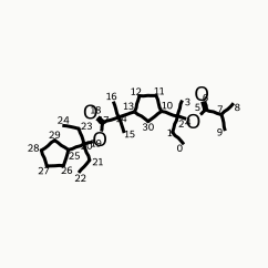 CCC(C)(OC(=O)C(C)C)C1CCC(C(C)(C)C(=O)OC(CC)(CC)C2CCCC2)C1